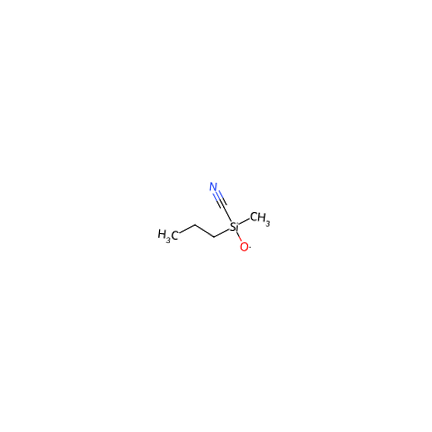 CCC[Si](C)([O])C#N